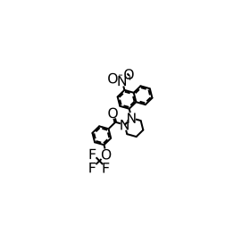 O=C(c1cccc(OC(F)(F)F)c1)N1CCCCN1c1ccc([N+](=O)[O-])c2ccccc12